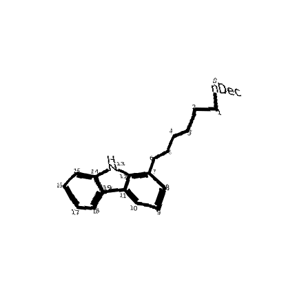 CCCCCCCCCCCCCCCCc1cccc2c1[nH]c1ccccc12